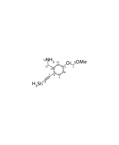 COCOc1ccc(C#C[SiH3])c(CN)c1